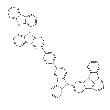 c1ccc2c(c1)oc1c(-n3c4ccccc4c4cc(-c5ccc(-c6ccc7c(c6)c6ccccc6n7-c6ccc7c8cccc9c%10ccccc%10n(c7c6)c98)cc5)ccc43)cccc12